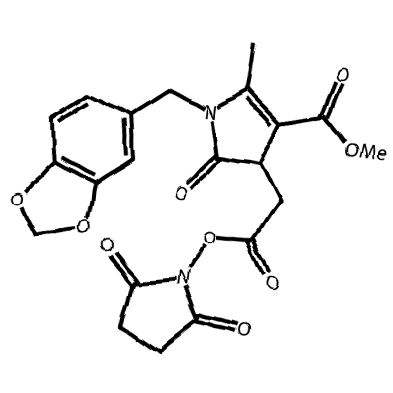 COC(=O)C1=C(C)N(Cc2ccc3c(c2)OCO3)C(=O)C1CC(=O)ON1C(=O)CCC1=O